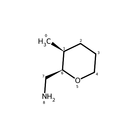 C[C@H]1CCCO[C@H]1CN